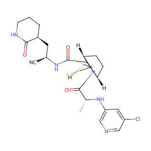 C[C@@H](Nc1cncc(Cl)c1)C(=O)N1[C@H]2CC[C@@H]([C@@H]1C(=O)N[C@@H](C#N)C[C@@H]1CCCNC1=O)C(F)(F)C2